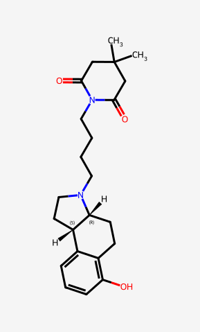 CC1(C)CC(=O)N(CCCCN2CC[C@H]3c4cccc(O)c4CC[C@H]32)C(=O)C1